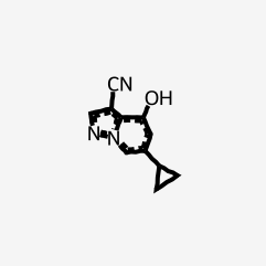 N#Cc1cnn2cc(C3CC3)cc(O)c12